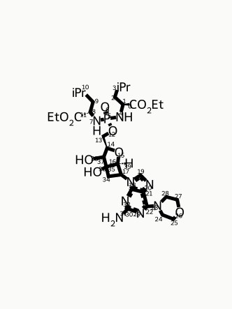 CCOC(=O)[C@H](CC(C)C)NP(=O)(N[C@@H](CC(C)C)C(=O)OCC)OC[C@H]1O[C@H]2C(n3cnc4c(N5CCOCC5)nc(N)nc43)CC2(O)C1O